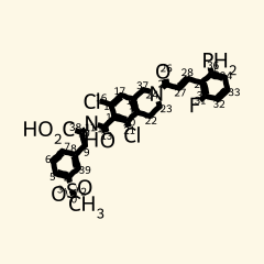 CS(=O)(=O)c1cccc(CC(NC(=O)c2c(Cl)cc3c(c2Cl)CCN(C(=O)/C=C/c2c(F)cccc2P)C3)C(=O)O)c1